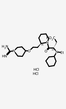 CCN(C1CCCCC1)[C@@H](CC(=O)O)C(=O)N1CCCC[C@@H]1CCOC1CCN(C(=N)N)CC1.Cl.Cl